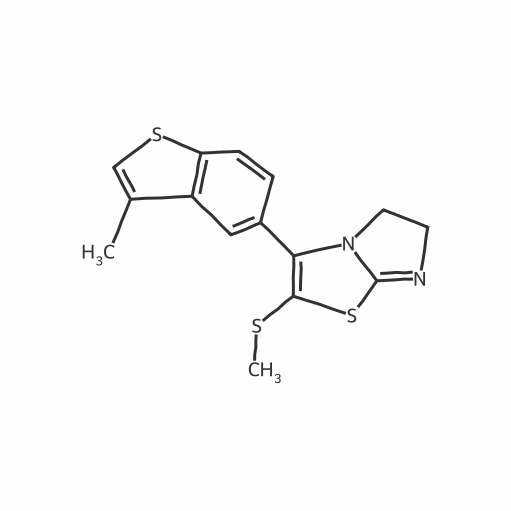 CSC1=C(c2ccc3scc(C)c3c2)N2CCN=C2S1